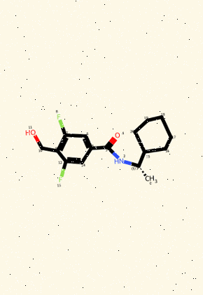 C[C@H](NC(=O)c1cc(F)c(CO)c(F)c1)C1CCCCC1